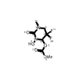 COC(=O)OC1N(O)C(=O)N(C)CC1(F)F